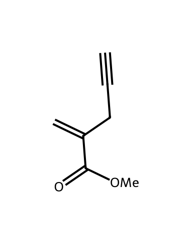 C#CCC(=C)C(=O)OC